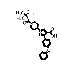 CC(C)(C)OC(=O)N1CCC(n2cc(C(=O)O)c(-c3ccc(Oc4ccccc4)cc3)n2)CC1